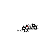 COc1ccc(C2CCC2)c2c1CCCC2C(=O)NS(=O)(=O)c1cccc2ccccc12